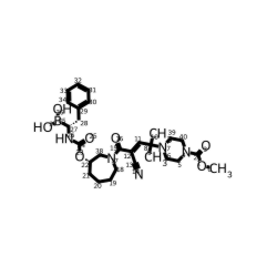 COC(=O)N1CCN(C(C)(C)C=C(C#N)C(=O)N2CCCC[C@H](OC(=O)N[C@@H](Cc3ccccc3)B(O)O)C2)CC1